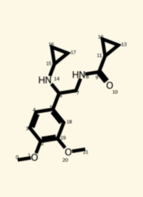 COc1ccc(C(CNC(=O)C2CC2)NC2CC2)cc1OC